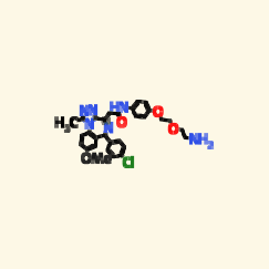 COc1ccc2c(c1)C(c1ccc(Cl)cc1)=N[C@H](CC(=O)Nc1ccc(OCCOCCN)cc1)c1nnc(C)n1-2